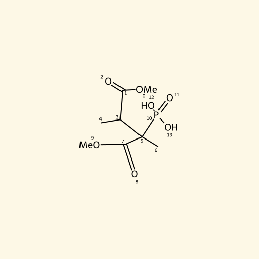 COC(=O)C(C)C(C)(C(=O)OC)P(=O)(O)O